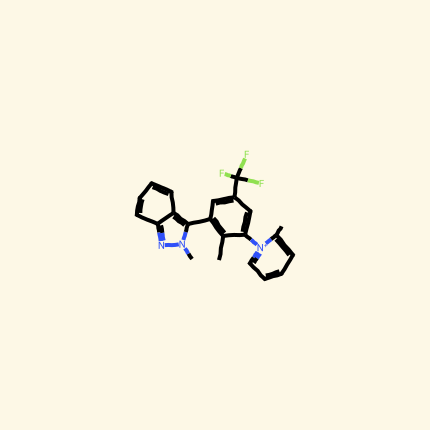 Cc1c(-c2c3ccccc3nn2C)cc(C(F)(F)F)cc1-[n+]1ccccc1C